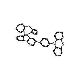 c1ccc2c(c1)Sc1ccccc1N2c1ccc(-c2ccc3c(c2)[Si]2(c4ccccc4Sc4ccccc42)c2ccccc2-3)cc1